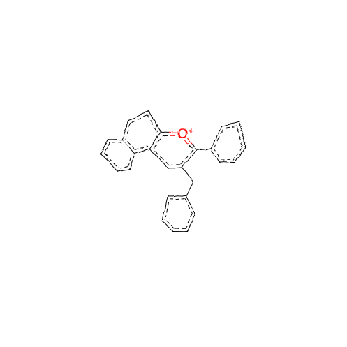 c1ccc(Cc2cc3c(ccc4ccccc43)[o+]c2-c2ccccc2)cc1